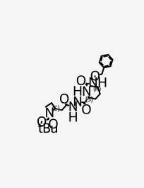 CC(C)(C)OC(=O)N1CC[C@H]1CC(=O)NNC(=O)[C@@H]1CC[C@@H]2CN1C(=O)N2OCc1ccccc1